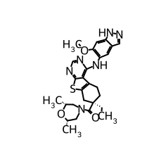 CC[C@@]1(C(=O)N2C[C@@H](C)O[C@@H](C)C2)CCc2c(sc3ncnc(Nc4cc5cn[nH]c5cc4OC)c23)C1